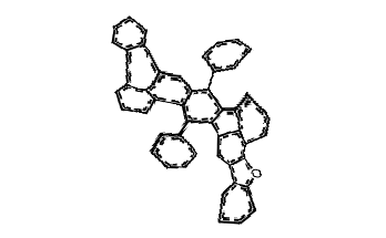 c1ccc(-c2c3cc4c5ccccc5c5cccc(c3c(-c3ccccc3)c3c6cc7c8ccccc8oc7c7cccc(c23)c76)c54)cc1